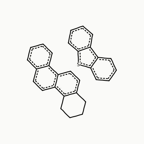 c1ccc2c(c1)ccc1c3c(ccc12)CCCC3.c1ccc2c(c1)sc1ccccc12